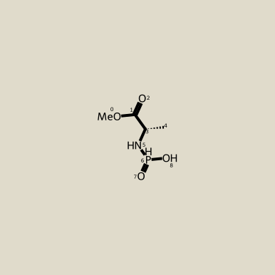 COC(=O)[C@H](C)N[PH](=O)O